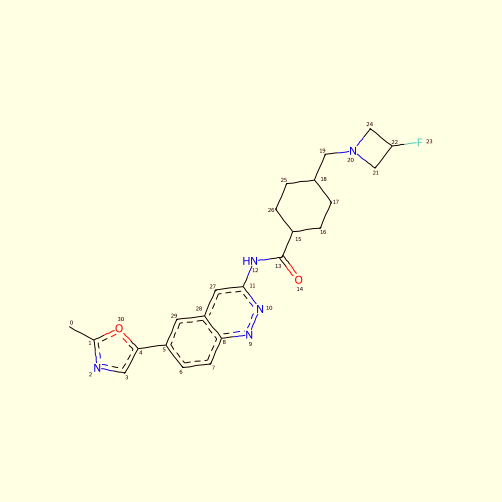 Cc1ncc(-c2ccc3nnc(NC(=O)C4CCC(CN5CC(F)C5)CC4)cc3c2)o1